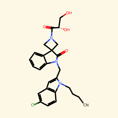 N#CCCCn1c(CN2C(=O)C3(CN(C(=O)[C@@H](O)CO)C3)c3ccccc32)cc2cc(Cl)ccc21